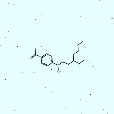 CCCCC(CC)COC(O)c1ccc(C(C)=O)cc1